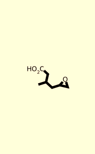 CC(CC(=O)O)CC1CO1